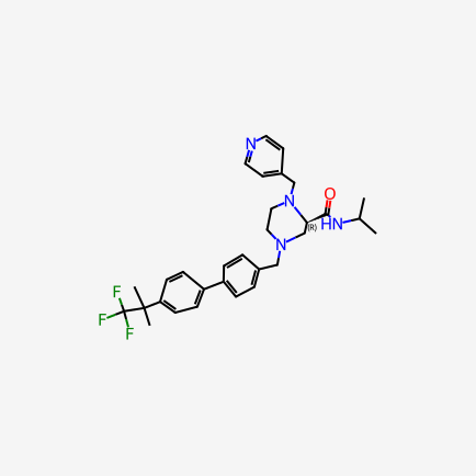 CC(C)NC(=O)[C@H]1CN(Cc2ccc(-c3ccc(C(C)(C)C(F)(F)F)cc3)cc2)CCN1Cc1ccncc1